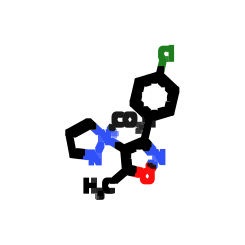 Cc1onc(-c2ccc(Cl)cc2)c1[N+]1(C(=O)O)C=CC=N1